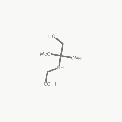 COC(CO)(NCC(=O)O)OC